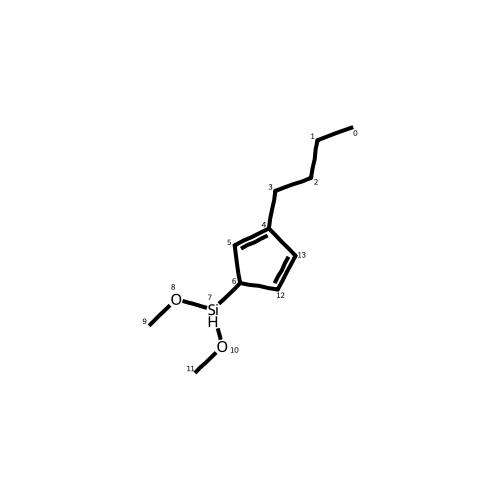 CCCCC1=CC([SiH](OC)OC)C=C1